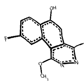 COc1nnc(Cl)c2cc(O)c3ccc(F)cc3c12